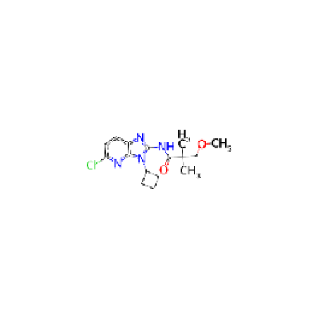 COCC(C)(C)C(=O)Nc1nc2ccc(Cl)nc2n1C1CCC1